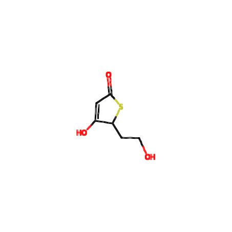 O=C1C=C(O)C(CCO)S1